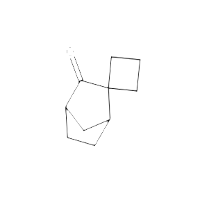 O=C1C2CCC(C2)C12CCC2